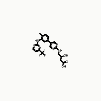 Cc1ccc(-c2cnc(NCC(O)CC(=O)O)nc2)cc1Nc1nccc(C(F)(F)F)n1